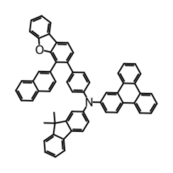 CC1(C)c2ccccc2-c2ccc(N(c3ccc(-c4ccc5c(oc6ccccc65)c4-c4ccc5ccccc5c4)cc3)c3ccc4c5ccccc5c5ccccc5c4c3)cc21